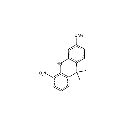 COc1ccc2c(c1)Nc1c([N+](=O)[O-])cccc1C2(C)C